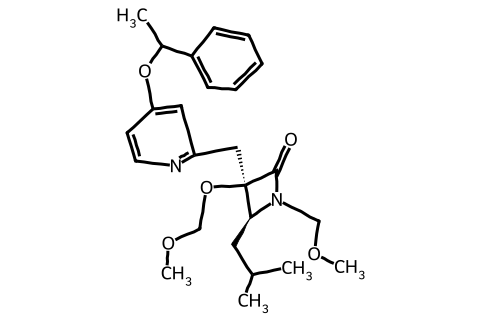 COCO[C@@]1(Cc2cc(OC(C)c3ccccc3)ccn2)C(=O)N(COC)[C@H]1CC(C)C